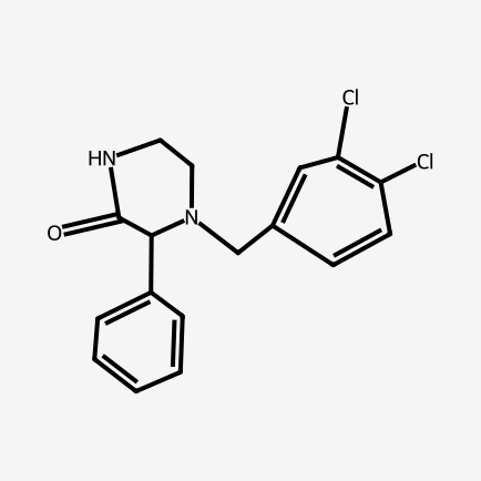 O=C1NCCN(Cc2ccc(Cl)c(Cl)c2)C1c1ccccc1